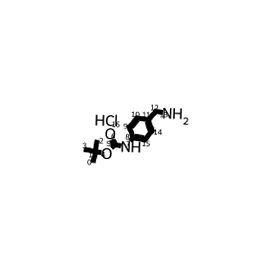 CC(C)(C)OC(=O)Nc1ccc(CN)cc1.Cl